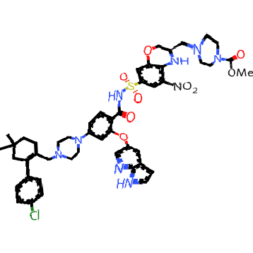 COC(=O)N1CCN(C[C@@H]2COc3cc(S(=O)(=O)NC(=O)c4ccc(N5CCN(CC6=C(c7ccc(Cl)cc7)CC(C)(C)CC6)CC5)cc4Oc4cnc5[nH]ccc5c4)cc([N+](=O)[O-])c3N2)CC1